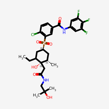 CCC1C[C@@H](S(=O)(=O)c2cc(C(=O)Nc3cc(F)c(F)c(F)c3)ccc2Cl)C[C@H](C)[C@@]1(O)CC(=O)NCC(C)(C)O